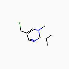 CC(C)C1N=CC(CF)=CN1C